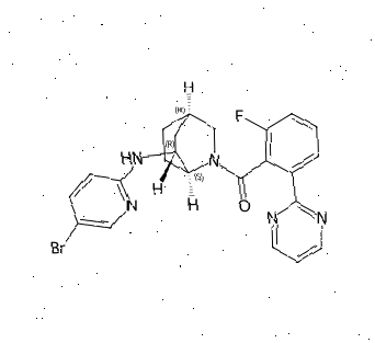 O=C(c1c(F)cccc1-c1ncccn1)N1C[C@@H]2CC[C@H]1[C@H](Nc1ccc(Br)cn1)C2